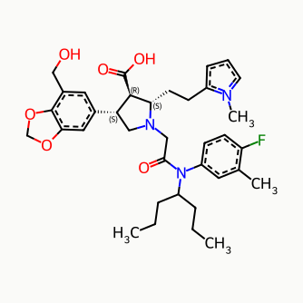 CCCC(CCC)N(C(=O)CN1C[C@H](c2cc(CO)c3c(c2)OCO3)[C@@H](C(=O)O)[C@@H]1CCc1cccn1C)c1ccc(F)c(C)c1